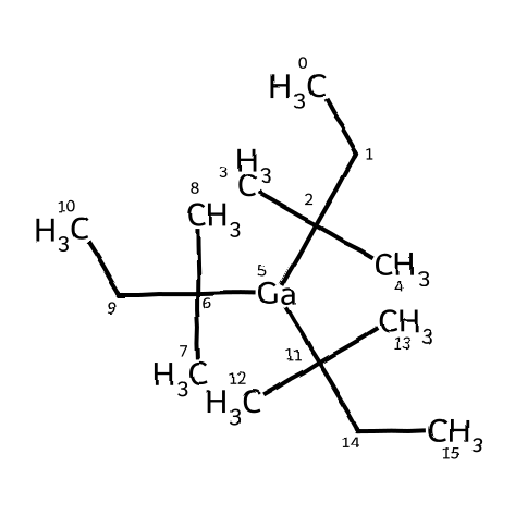 CC[C](C)(C)[Ga]([C](C)(C)CC)[C](C)(C)CC